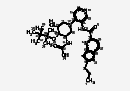 CCCc1cc2nc(C(=O)Nc3cnccc3N3C[C@H](C)[C@@H](O[Si](C)(C)C(C)(C)C)[C@H](NC(=O)O)C3)ccc2s1